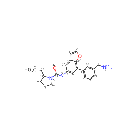 NCc1cccc(-c2cc(NC(=O)N3CCCC3CC(=O)O)cc3ccoc23)c1